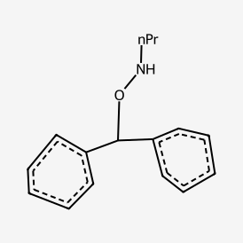 CCCNOC(c1ccccc1)c1ccccc1